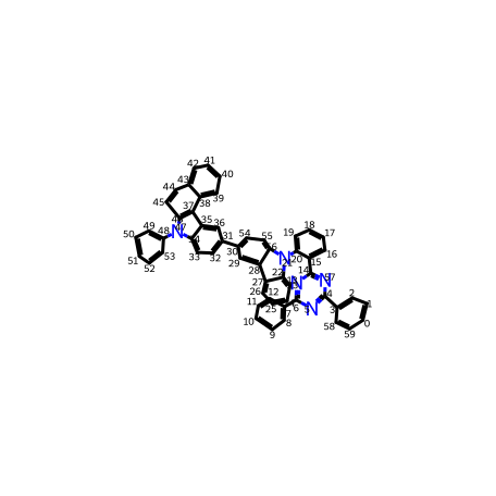 c1ccc(-c2nc(-c3ccccc3)nc(-c3ccccc3-n3c4ccccc4c4cc(-c5ccc6c(c5)c5c7ccccc7ccc5n6-c5ccccc5)ccc43)n2)cc1